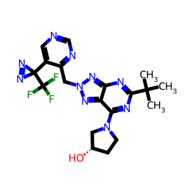 CC(C)(C)c1nc(N2CC[C@H](O)C2)c2nn(Cc3ncncc3C3(C(F)(F)F)N=N3)nc2n1